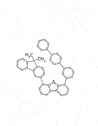 CC1(C)c2ccccc2-c2cc(-c3cccc4c3sc3c(-c5cccc(-c6ccc(-c7ccccc7)cc6)c5)cccc34)ccc21